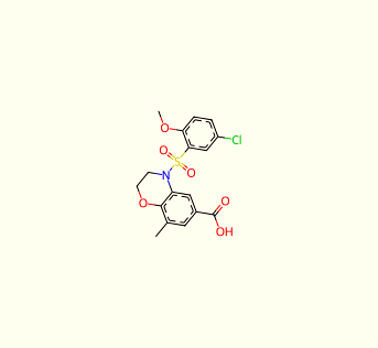 COc1ccc(Cl)cc1S(=O)(=O)N1CCOc2c(C)cc(C(=O)O)cc21